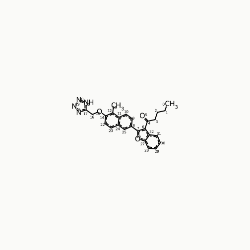 CCCCC(=O)c1c(-c2ccc3c(C)c(OCc4nnn[nH]4)ccc3c2)oc2ccccc12